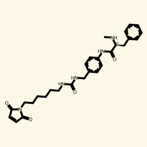 CN[C@@H](Cc1ccccc1)C(=O)Nc1ccc(CNC(=O)NCCCCCCN2C(=O)C=CC2=O)cc1